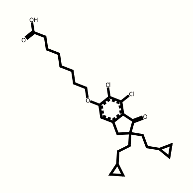 O=C(O)CCCCCCCOc1cc2c(c(Cl)c1Cl)C(=O)C(CCC1CC1)(CCC1CC1)C2